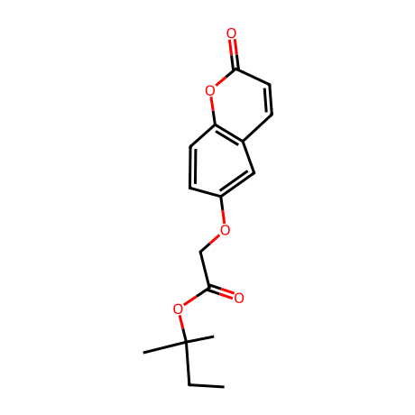 CCC(C)(C)OC(=O)COc1ccc2oc(=O)ccc2c1